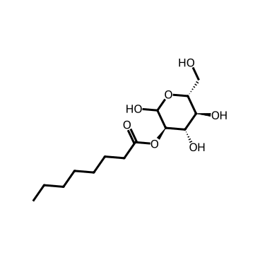 CCCCCCCC(=O)O[C@H]1C(O)O[C@H](CO)[C@@H](O)[C@@H]1O